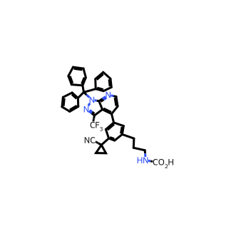 N#CC1(c2cc(CCCNC(=O)O)cc(-c3ccnc4c3c(C(F)(F)F)nn4C(c3ccccc3)(c3ccccc3)c3ccccc3)c2)CC1